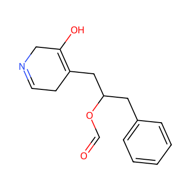 O=COC(CC1=C(O)CN=CC1)Cc1ccccc1